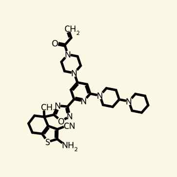 C=CC(=O)N1CCN(c2cc(-c3noc(C4(C)CCCc5sc(N)c(C#N)c54)n3)nc(N3CCC(N4CCCCC4)CC3)c2)CC1